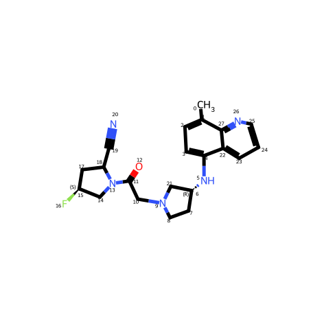 Cc1ccc(N[C@@H]2CCN(CC(=O)N3C[C@@H](F)CC3C#N)C2)c2cccnc12